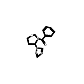 O=C(c1ccccc1)N1CCCCC1n1cncn1